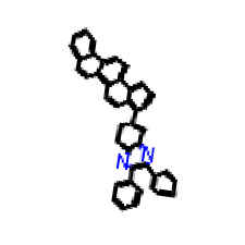 c1ccc(-c2nc3ccc(-c4cccc5c4ccc4c5ccc5c6ccccc6ccc54)cc3nc2-c2ccccc2)cc1